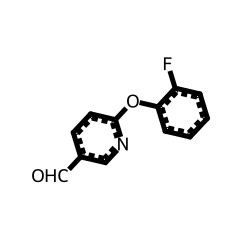 O=Cc1ccc(Oc2ccccc2F)nc1